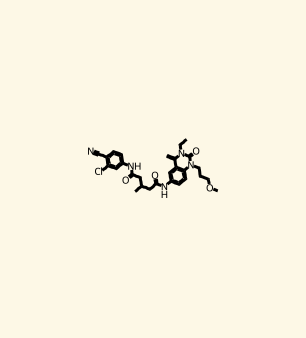 C=C1c2cc(NC(=O)CC(C)CC(=O)Nc3ccc(C#N)c(Cl)c3)ccc2N(CCCOC)C(=O)N1CC